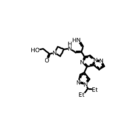 CCC(CC)n1cc(-c2nc(/C(C=N)=C/NC3CN(C(=O)CO)C3)cn3nccc23)cn1